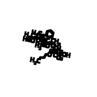 CC(C)(C)OO.CC(C)(C)OO.CC(C)c1ccccc1.CCCCOOC(C)(C)OC(=O)O